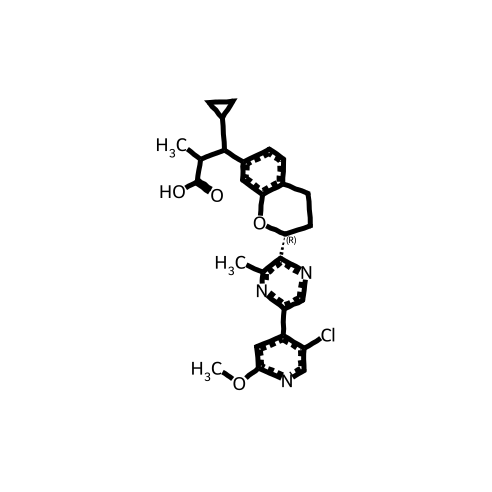 COc1cc(-c2cnc([C@H]3CCc4ccc(C(C5CC5)C(C)C(=O)O)cc4O3)c(C)n2)c(Cl)cn1